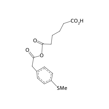 CSc1ccc(CC(=O)OC(=O)CCCCC(=O)O)cc1